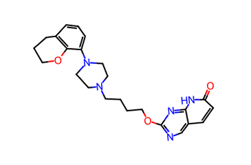 O=c1ccc2cnc(OCCCCN3CCN(c4cccc5c4OCCC5)CC3)nc2[nH]1